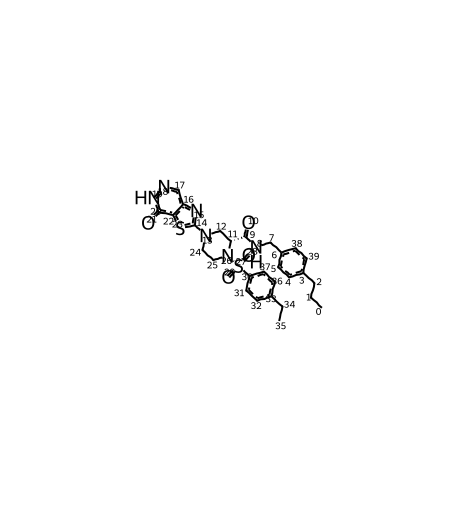 CCCc1ccc(CNC(=O)[C@H]2CN(c3nc4cn[nH]c(=O)c4s3)CCN2S(=O)(=O)c2ccc(CC)cc2)cc1